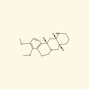 COc1ccc2c(c1OC)CCN1C[C@H]3CCCN[C@H]3C[C@@H]21